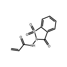 C=CC(=O)NN1C(=O)c2ccccc2S1(=O)=O